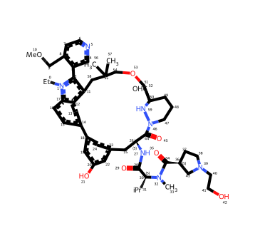 CCn1c(-c2cnccc2COC)c2c3cc(ccc31)-c1cc(O)cc(c1)C[C@H](NC(=O)[C@H](C(C)C)N(C)C(=O)[C@H]1CCN(CCO)C1)C(=O)N1CCCC(C=O)(COCC(C)(C)C2)N1